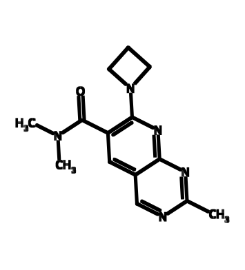 Cc1ncc2cc(C(=O)N(C)C)c(N3CCC3)nc2n1